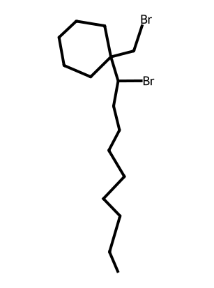 CCCCCCCCC(Br)C1(CBr)CCCCC1